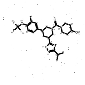 Cc1cc(C2CC(c3nc(C(C)C)no3)CN(C(=O)N3CCC(O)CC3)C2)ccc1OC(F)(F)F